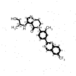 Cc1cc(-c2ncc3cc(C(F)(F)F)ccc3n2)ccc1N1CCn2ncc(N[C@@H](C)CO)c2C1=O